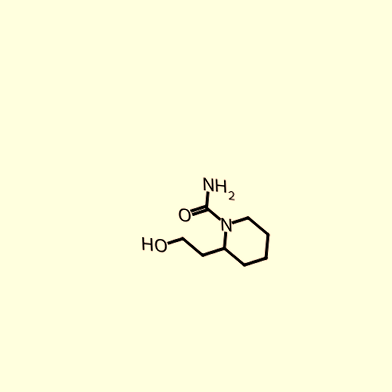 NC(=O)N1CCCCC1CCO